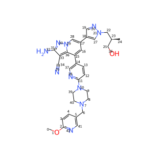 COc1ccc(CN2CCN(c3ccc(-c4cc(-c5cnn(C[C@@H](C)CO)c5)cn5nc(N)c(C#N)c45)cn3)CC2)cn1